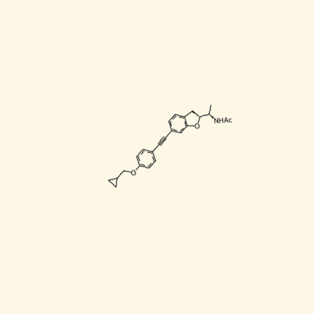 CC(=O)N[C@H](C)[C@@H]1Cc2ccc(C#Cc3ccc(OCC4CC4)cc3)cc2O1